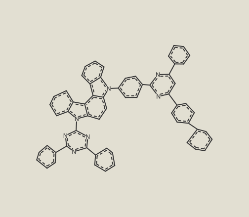 c1ccc(-c2ccc(-c3cc(-c4ccccc4)nc(-c4ccc(-n5c6ccccc6c6c7c8ccccc8n(-c8nc(-c9ccccc9)nc(-c9ccccc9)n8)c7ccc65)cc4)n3)cc2)cc1